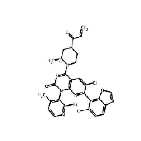 C=CC(=O)N1CCN(c2nc(=O)n(-c3c(C)ccnc3C(C)C)c3nc(-c4c(Cl)ccc5ccoc45)c(Cl)cc23)[C@@H](C)C1